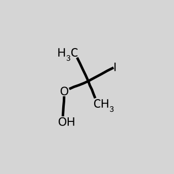 CC(C)(I)OO